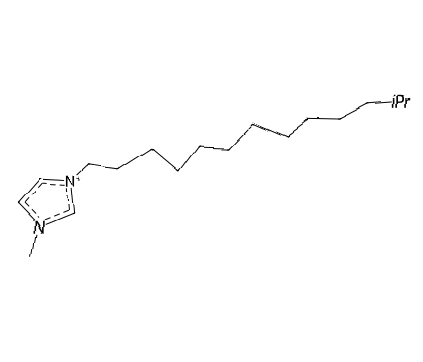 CC(C)CCCCCCCCCCC[n+]1ccn(C)c1